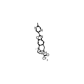 Cc1cnc(-c2nc3cc4c(cc3o2)[C@]2(C)CCN(C(=O)C(F)(F)F)[C@H](C4)C2(C)C)cn1